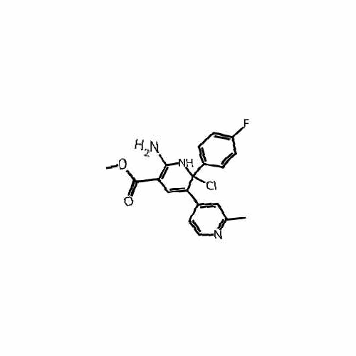 COC(=O)C1=C(N)NC(Cl)(c2ccc(F)cc2)C(c2ccnc(C)c2)=C1